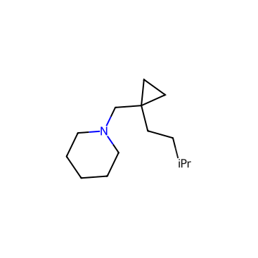 CC(C)CCC1(CN2CCCCC2)CC1